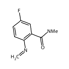 C=Nc1ccc(F)cc1C(=O)NC